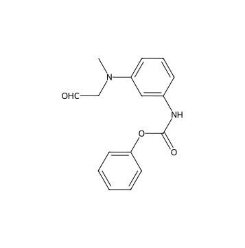 CN(CC=O)c1cccc(NC(=O)Oc2ccccc2)c1